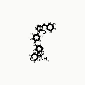 NC(=O)C1(c2cccc(Sc3ccc(-n4ncn(CC5CCCCC5)c4=O)cc3)c2)CCOCC1